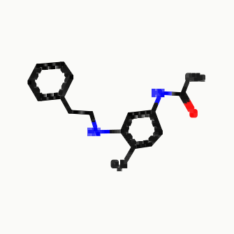 COC(=O)Nc1ccc([N+](=O)[O-])c(NCCc2ccccc2)c1